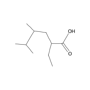 CCC(CC(C)C(C)C)C(=O)O